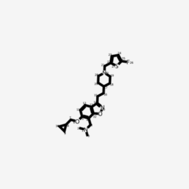 CN(C)Cc1c(OCC2CC2)ccc2c(CCC3CCN(Cc4ccc(F)s4)CC3)noc12